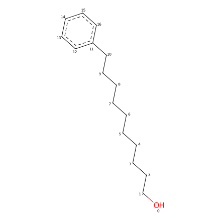 O[CH]CCCCCCCCCc1ccccc1